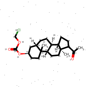 CC(=O)C1CC[C@H]2[C@@H]3CC[C@H]4C[C@H](OC(=O)OCCl)CCC4(C)[C@H]3CC[C@]12C